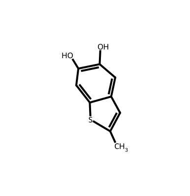 Cc1cc2cc(O)c(O)cc2s1